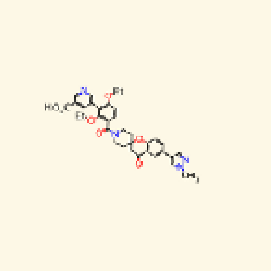 CCOc1ccc(C(=O)N2CCC3(CC2)CC(=O)c2cc(-c4cnn(C)c4)ccc2O3)c(OCC)c1-c1cncc(C(=O)O)c1